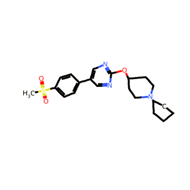 CS(=O)(=O)c1ccc(-c2cnc(OC3CCN(C4CCCC4)CC3)nc2)cc1